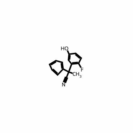 CC(C#N)(c1ccccc1)c1cc(O)ccc1F